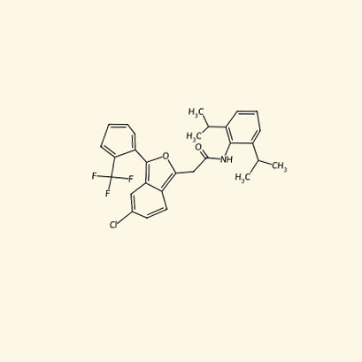 CC(C)c1cccc(C(C)C)c1NC(=O)Cc1oc(-c2ccccc2C(F)(F)F)c2cc(Cl)ccc12